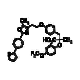 Cc1oc(-c2ccc(-c3cccs3)cc2)nc1CCOc1ccc(CC(C)(Oc2ccc(OC(F)(F)F)cc2)C(=O)O)cc1